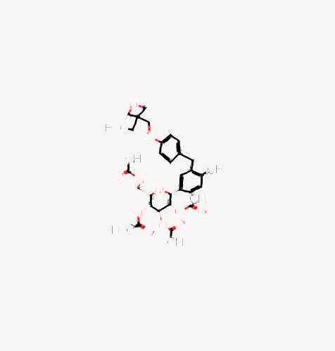 CCC1(COc2ccc(Cc3cc([C@@H]4O[C@H](COC(C)=O)[C@@H](OC(C)=O)[C@H](OC(C)=O)[C@H]4OC(C)=O)ccc3C)cc2)COC1